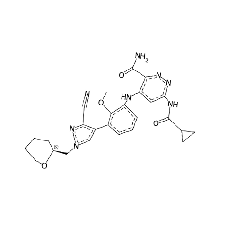 COc1c(Nc2cc(NC(=O)C3CC3)nnc2C(N)=O)cccc1-c1cn(C[C@@H]2CCCCO2)nc1C#N